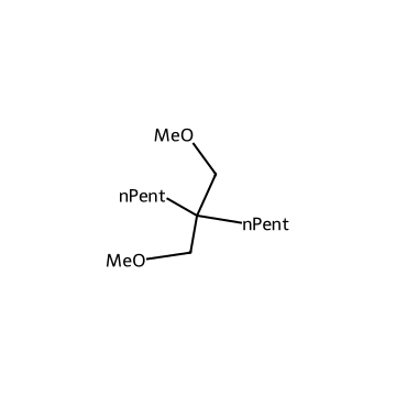 CCCCCC(CCCCC)(COC)COC